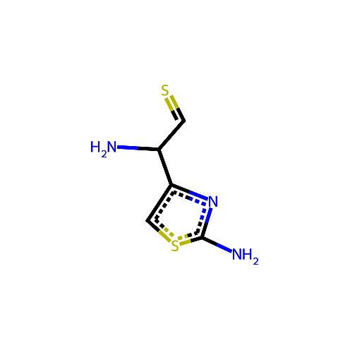 Nc1nc(C(N)C=S)cs1